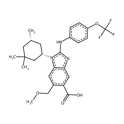 COCc1cc2c(cc1C(=O)O)nc(Nc1ccc(OC(F)(F)F)cc1)n2[C@H]1C[C@@H](C)CC(C)(C)C1